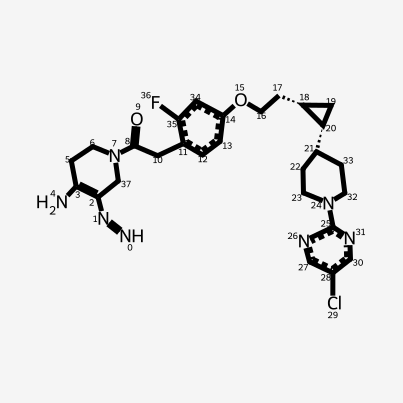 N=NC1=C(N)CCN(C(=O)Cc2ccc(OCC[C@@H]3C[C@@H]3C3CCN(c4ncc(Cl)cn4)CC3)cc2F)C1